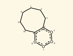 C1CCCc2ooooc2CC1